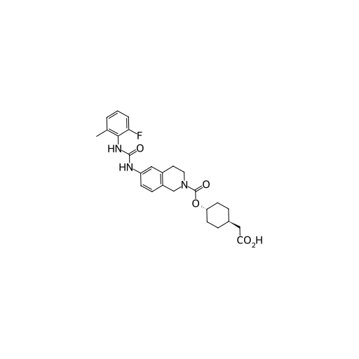 Cc1cccc(F)c1NC(=O)Nc1ccc2c(c1)CCN(C(=O)O[C@H]1CC[C@H](CC(=O)O)CC1)C2